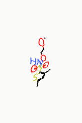 COCCONS(=O)(=O)c1sc(C)cc1C